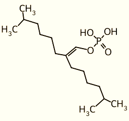 CC(C)CCCCC(=COP(=O)(O)O)CCCCC(C)C